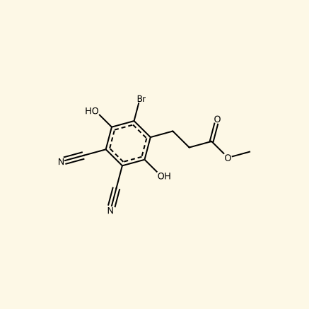 COC(=O)CCc1c(O)c(C#N)c(C#N)c(O)c1Br